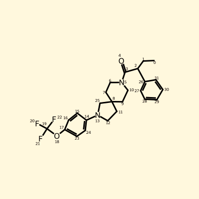 CCC(C(=O)N1CCC2(CC1)CCN(c1ccc(OC(F)(F)F)cc1)C2)c1ccccc1